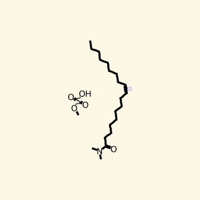 CCCCCCCC/C=C\CCCCCCCC(=O)N(C)C.COS(=O)(=O)O